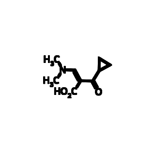 CN(C)C=C(C(=O)O)C(=O)C1CC1